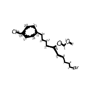 COCOC(CCCCCBr)CCCCc1ccc(Cl)cc1